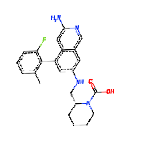 Cc1cccc(F)c1-c1cc(NC[C@H]2CCCCN2C(=O)O)cc2cnc(N)cc12